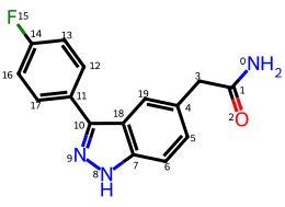 NC(=O)Cc1ccc2[nH]nc(-c3ccc(F)cc3)c2c1